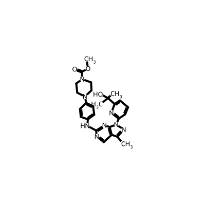 COC(=O)N1CCN(c2ccc(Nc3ncc4c(C)nn(-c5cccc(C(C)(C)O)n5)c4n3)cc2)CC1